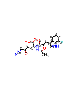 CCOC(Cc1c[nH]c2c(F)cccc12)C(=O)NC(CCC(=O)C=[N+]=[N-])C(=O)O